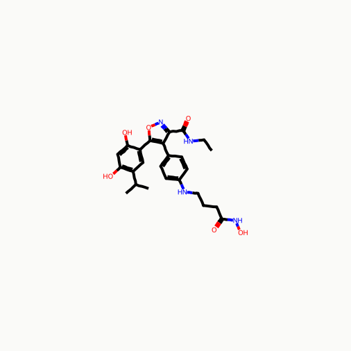 CCNC(=O)c1noc(-c2cc(C(C)C)c(O)cc2O)c1-c1ccc(NCCCC(=O)NO)cc1